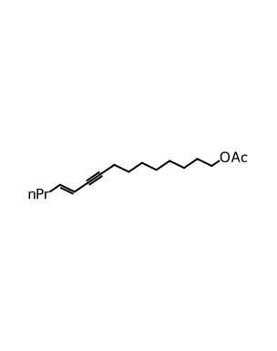 CCCC=CC#CCCCCCCCCOC(C)=O